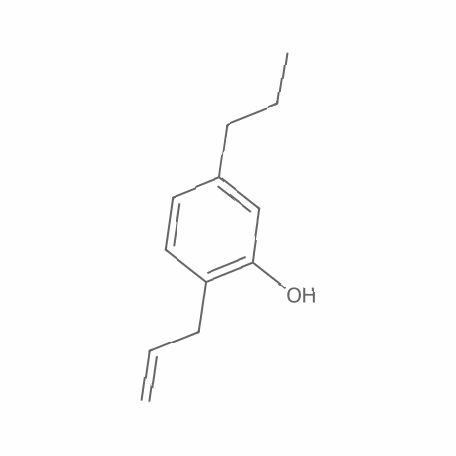 C=CCc1ccc(CCC)cc1O